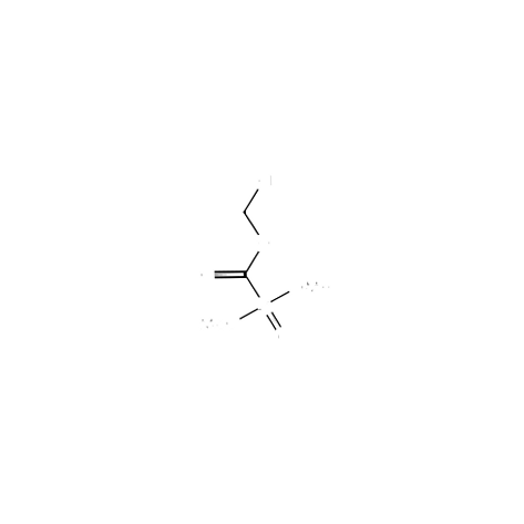 COP(=O)(OC)C(=O)OCC(F)(F)F